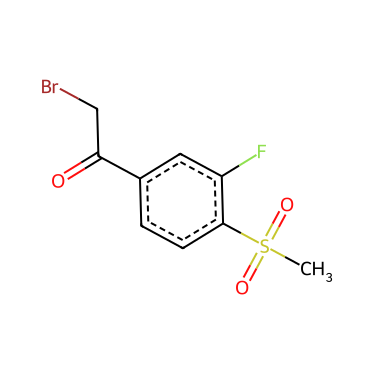 CS(=O)(=O)c1ccc(C(=O)CBr)cc1F